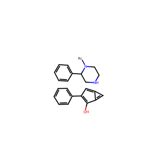 CC(=O)N1CCNCC1c1ccccc1.Oc1c(-c2ccccc2)cc2cc1-2